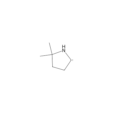 CC1(C)CC[C]N1